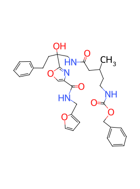 CC(CCNC(=O)OCc1ccccc1)CC(=O)NCC(O)(CCc1ccccc1)c1nc(C(=O)NCc2ccco2)co1